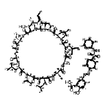 C/C=C/C[C@@H](C)[C@@H](O)[C@@H]1C(=O)N[C@@H](CC)C(=O)N(C)CC(=O)N(C)[C@H](CC(C)C)C(=O)N[C@@H](C(C)C)C(=O)N(C)[C@H](CC(C)C)C(=O)N[C@H](C)C(=O)N[C@H](C)C(=O)N(C)[C@H](CC(C)C)C(=O)N(C)[C@H](CC(C)C)C(=O)N(C)[C@H](C(C)C)C(=O)N1C.O=C(O)c1cc(/N=N/c2ccc(S(=O)(=O)Nc3ccccn3)cc2)ccc1O